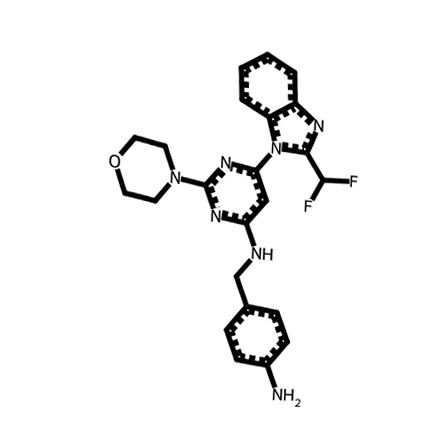 Nc1ccc(CNc2cc(-n3c(C(F)F)nc4ccccc43)nc(N3CCOCC3)n2)cc1